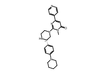 Cn1c(N2CCN[C@@H](c3ccc(N4CCCCC4)cc3)C2)nc(-c2ccncc2)cc1=O